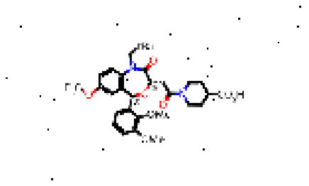 COc1cccc([C@@H]2O[C@@H](CC(=O)N3CCC(C(=O)O)CC3)C(=O)N(CC(C)(C)C)c3ccc(OC(F)(F)F)cc32)c1OC